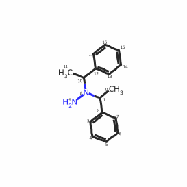 CC(c1ccccc1)N(N)C(C)c1ccccc1